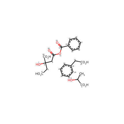 CC(O)C(=O)O.O=C(O)CC(O)(CC(=O)OC(=O)c1ccccc1)C(=O)O.O=C(O)Cc1ccccc1